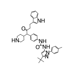 Cc1ccc(-n2nc(C(C)(C)C)cc2NC(=O)Nc2ccc(C(C(=O)CCc3c[nH]c4ccccc34)C3CCNCC3)cc2)cc1